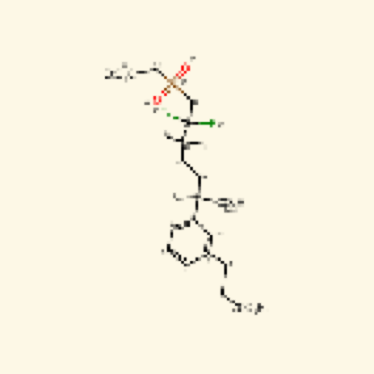 CCOC(=O)CCc1cccc(C(C)(CCC(C)(C)C(F)(F)CS(=O)(=O)CC(=O)OCC)C(=O)O)c1